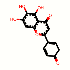 O=C1C=CC(c2cc(=O)c3c(O)c(O)c(O)cc3o2)=CC1